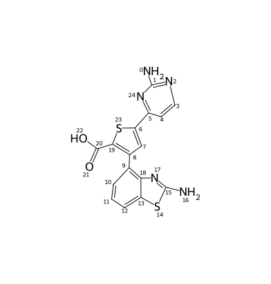 Nc1nccc(-c2cc(-c3cccc4sc(N)nc34)c(C(=O)O)s2)n1